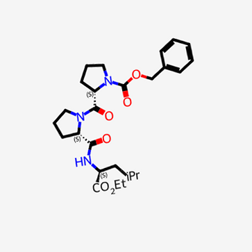 CCOC(=O)[C@H](CC(C)C)NC(=O)[C@@H]1CCCN1C(=O)[C@@H]1CCCN1C(=O)OCc1ccccc1